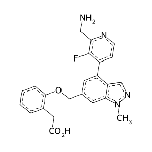 Cn1ncc2c(-c3ccnc(CN)c3F)cc(COc3ccccc3CC(=O)O)cc21